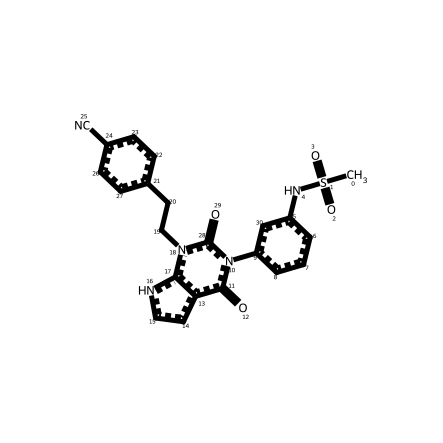 CS(=O)(=O)Nc1cccc(-n2c(=O)c3cc[nH]c3n(CCc3ccc(C#N)cc3)c2=O)c1